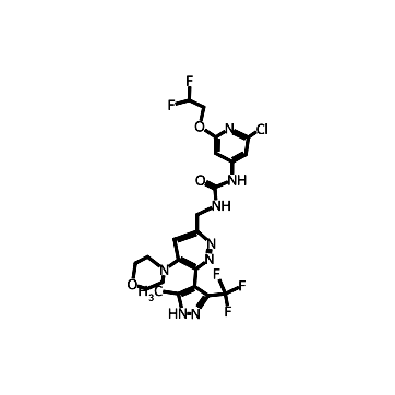 Cc1[nH]nc(C(F)(F)F)c1-c1nnc(CNC(=O)Nc2cc(Cl)nc(OCC(F)F)c2)cc1N1CCOCC1